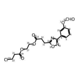 O=COc1cccc(-c2noc(CCC(=O)OCCOC(=O)CCCl)n2)c1